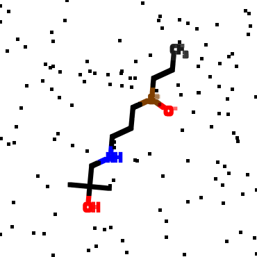 CC(C)(O)CNCCC[S+]([O-])CCC(F)(F)F